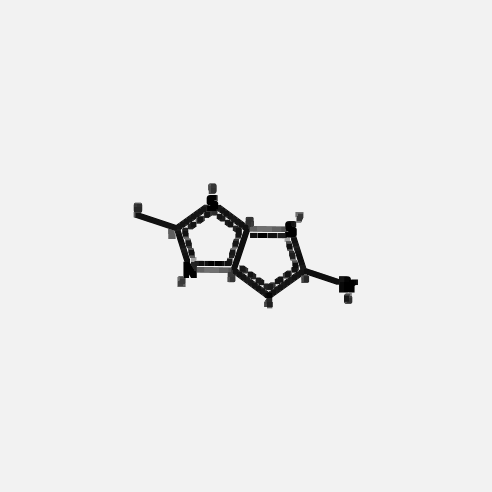 Cc1nc2cc(Br)sc2s1